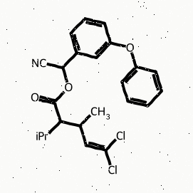 CC(C)C(C(=O)OC(C#N)c1cccc(Oc2ccccc2)c1)C(C)C=C(Cl)Cl